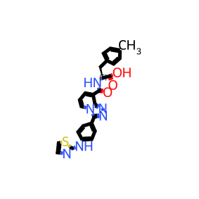 Cc1ccc(C[C@H](NC(=O)c2cccn3c(-c4ccc(Nc5nccs5)cc4)nnc23)C(=O)O)cc1